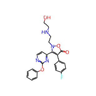 O=c1on(CCNCCO)c(-c2ccnc(Oc3ccccc3)n2)c1-c1ccc(F)cc1